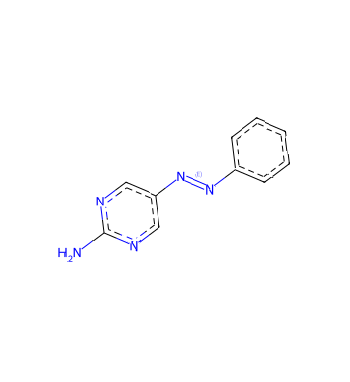 Nc1ncc(/N=N/c2ccccc2)cn1